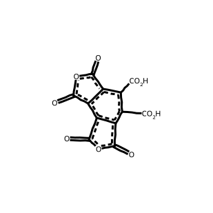 O=C(O)c1c(C(=O)O)c2c(=O)oc(=O)c2c2c(=O)oc(=O)c12